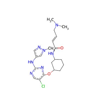 CN(C)C/C=C/C(=O)NC1CCCC(Oc2nc(Nc3cnn(C)c3)ncc2Cl)C1